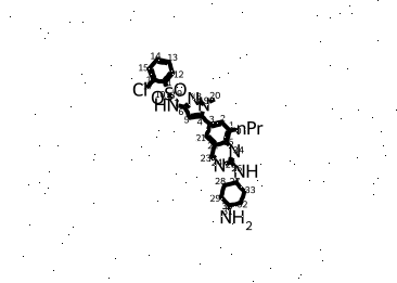 CCCc1cc(-c2cc(NS(=O)(=O)c3ccccc3Cl)nn2C)cc2cnc(N[C@H]3CC[C@H](N)CC3)nc12